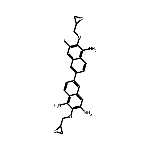 Nc1cc2cc(-c3ccc4c(N)c(OCC5CO5)c(I)cc4c3)ccc2c(N)c1OCC1CO1